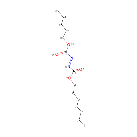 CCCCCCCOC(=O)/N=N/C(=O)OCCCCC